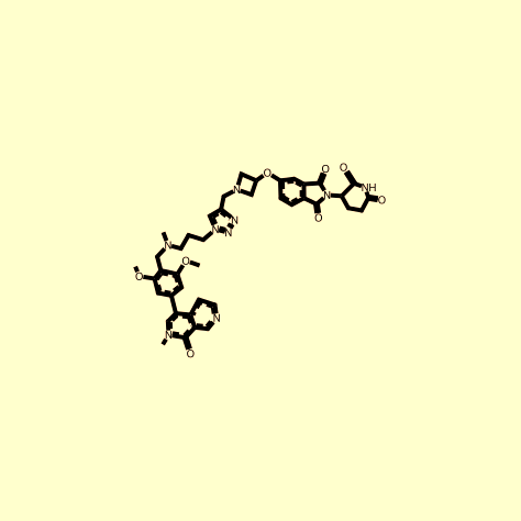 COc1cc(-c2cn(C)c(=O)c3cnccc23)cc(OC)c1CN(C)CCCn1cc(CN2CC(Oc3ccc4c(c3)C(=O)N(C3CCC(=O)NC3=O)C4=O)C2)nn1